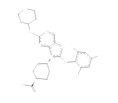 NC(=O)[C@H]1CC[C@@H](n2c(Nc3c(F)cc(Cl)cc3F)nc3cnc(NC4CCOCC4)nc32)CC1